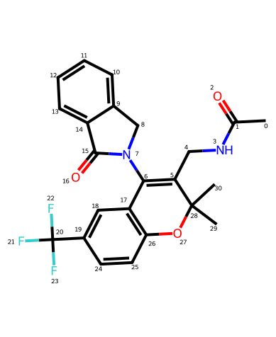 CC(=O)NCC1=C(N2Cc3ccccc3C2=O)c2cc(C(F)(F)F)ccc2OC1(C)C